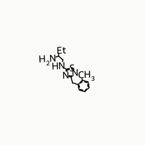 CCC(N)CNc1nc(Cc2ccccc2C)ns1